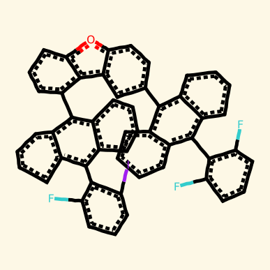 Fc1cccc(F)c1-c1c2ccccc2c(-c2ccc3oc4cccc(-c5c6ccccc6c(-c6c(F)cccc6I)c6ccccc56)c4c3c2)c2ccccc12